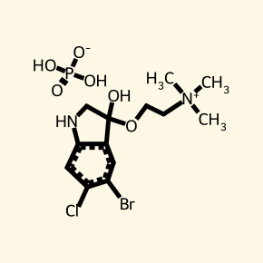 C[N+](C)(C)CCOC1(O)CNc2cc(Cl)c(Br)cc21.O=P([O-])(O)O